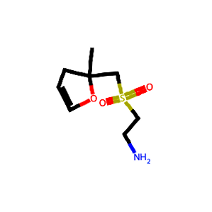 CC1(CS(=O)(=O)CCN)CC=CO1